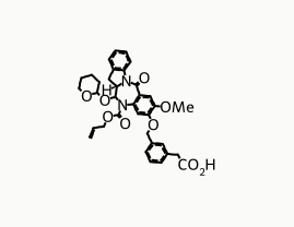 C=CCOC(=O)N1c2cc(OCc3cccc(CC(=O)O)c3)c(OC)cc2C(=O)N2c3ccccc3C[C@H]2C1OC1CCCCO1